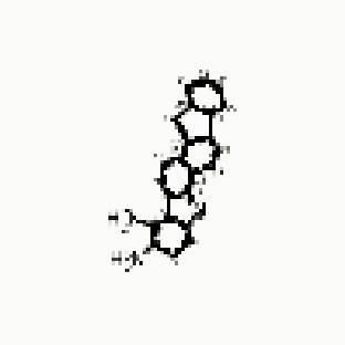 Nc1ccc2c(c1N)-c1ccc3c4c(ccc3c1=N2)-c1ccccc1C=4